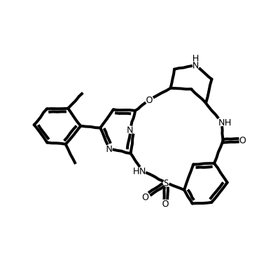 Cc1cccc(C)c1-c1cc2nc(n1)NS(=O)(=O)c1cccc(c1)C(=O)NC1CNCC(C1)O2